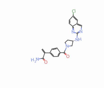 C=C(C(N)=O)c1ccc(C(=O)N2CC[C@H](Nc3ncc4cc(Cl)ccc4n3)C2)cc1